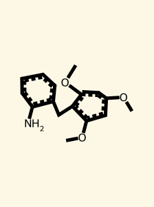 COc1cc(OC)c(Cc2ccccc2N)c(OC)c1